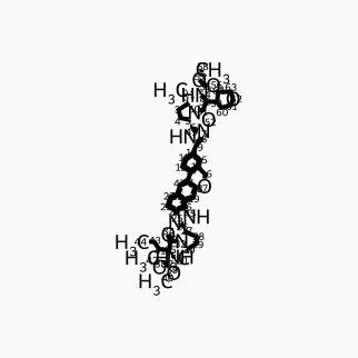 CC[C@H]1CC[C@@H](c2ncc(-c3ccc4c(c3)COc3cc5c(ccc6nc([C@@H]7CC[C@H](C)N7C(=O)[C@@H](NC(=O)OC)[C@@H](C)CC)[nH]c65)cc3-4)[nH]2)N1C(=O)C(NC(=O)OC)C1CCOCC1